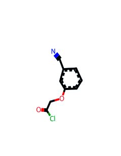 N#Cc1cccc(OCC(=O)Cl)c1